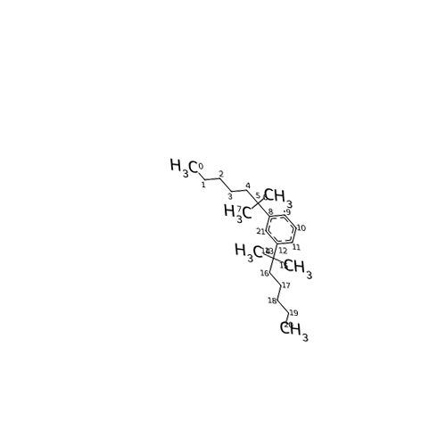 CCCCCC(C)(C)c1[c]ccc(C(C)(C)CCCCC)c1